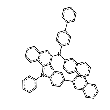 c1ccc(-c2ccc(N(c3ccc4ccccc4c3)c3cc4ccccc4c4c3c3cc(-c5ccc6ccccc6c5)ccc3n4-c3ccccc3)cc2)cc1